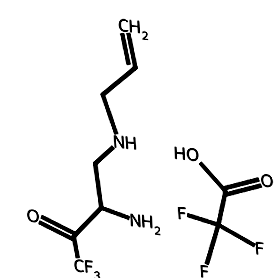 C=CCNCC(N)C(=O)C(F)(F)F.O=C(O)C(F)(F)F